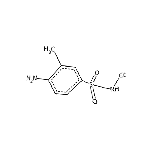 CCNS(=O)(=O)c1ccc(N)c(C)c1